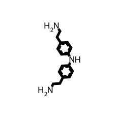 NCCc1ccc(Nc2ccc(CCN)cc2)cc1